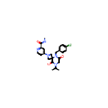 CNC(=O)c1cc(N2CC3(C2)C(=O)N(C(C)C)CC(=O)N3Cc2ccc(Cl)cc2)ccn1